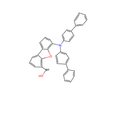 OBc1cccc2c1oc1c(N(c3ccc(-c4ccccc4)cc3)c3ccc(-c4ccccc4)cc3)cccc12